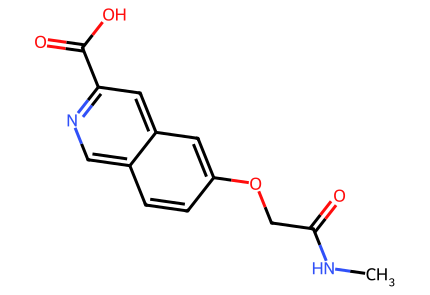 CNC(=O)COc1ccc2cnc(C(=O)O)cc2c1